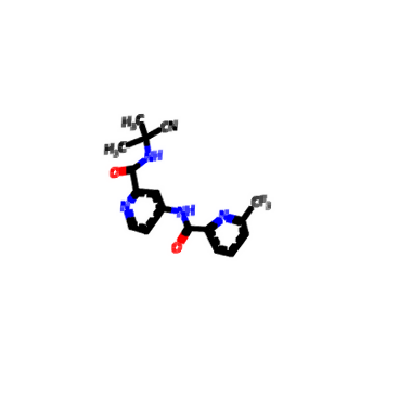 CC(C)(C#N)NC(=O)c1cc(NC(=O)c2cccc(C(F)(F)F)n2)ccn1